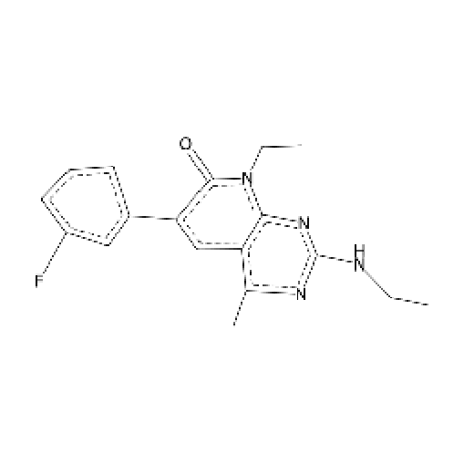 CCNc1nc(C)c2cc(-c3cccc(F)c3)c(=O)n(CC)c2n1